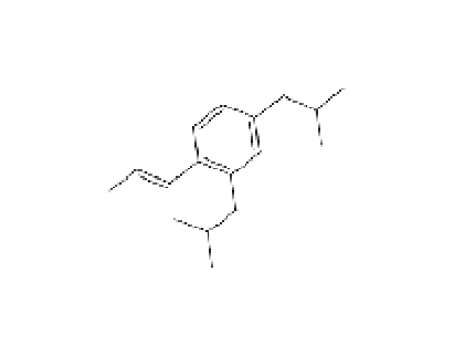 CC=Cc1ccc(CC(C)C)cc1CC(C)C